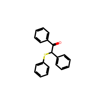 O=C(c1ccccc1)C(Sc1ccccc1)c1ccccc1